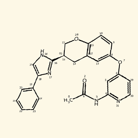 CC(=O)Nc1cc(Oc2ccc3c(c2)C[C@@H](c2nc(-c4ccccc4)c[nH]2)CO3)ccn1